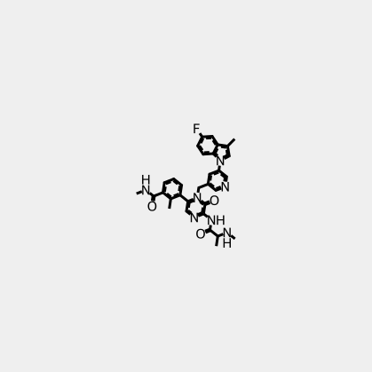 CNC(=O)c1cccc(-c2cnc(NC(=O)C(C)NC)c(=O)n2Cc2cncc(-n3cc(C)c4cc(F)ccc43)c2)c1C